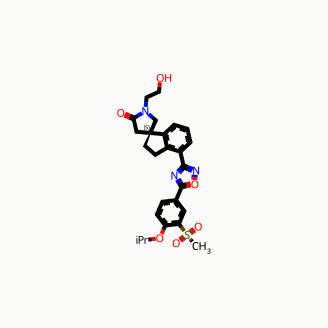 CC(C)Oc1ccc(-c2nc(-c3cccc4c3CC[C@]43CC(=O)N(CCO)C3)no2)cc1S(C)(=O)=O